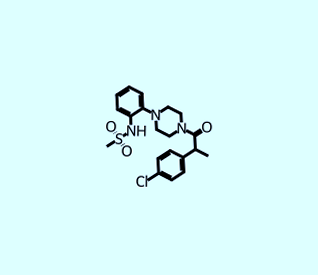 CC(C(=O)N1CCN(c2ccccc2NS(C)(=O)=O)CC1)c1ccc(Cl)cc1